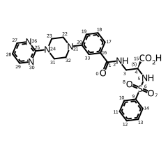 O=C(NC[C@H](NS(=O)(=O)c1ccccc1)C(=O)O)c1cccc(N2CCN(c3ncccn3)CC2)c1